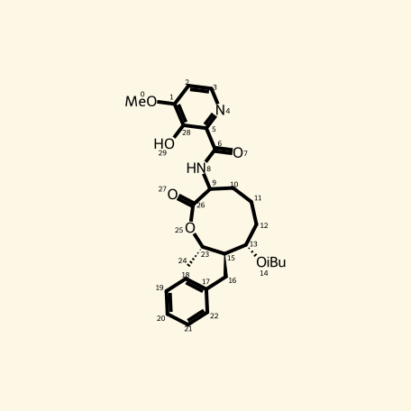 COc1ccnc(C(=O)NC2CCC[C@H](OCC(C)C)[C@@H](Cc3ccccc3)[C@H](C)OC2=O)c1O